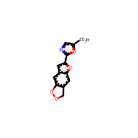 CCOC(=O)c1cnc(-c2cc3cc4c(cc3o2)COO4)o1